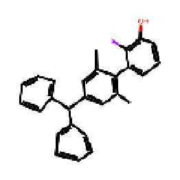 Cc1cc(C(c2ccccc2)c2ccccc2)cc(C)c1-c1cccc(O)c1I